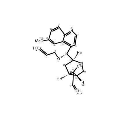 C=CCO[C@H](c1ccnc2ccc(OC)cc12)[C@@H]1C[C@@H]2CCN1C[C@@H]2C=C